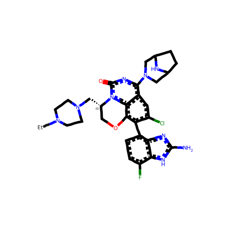 CCN1CCN(C[C@H]2COc3c(-c4ccc(F)c5[nH]c(N)nc45)c(Cl)cc4c(N5CC6CCC(C5)N6)nc(=O)n2c34)CC1